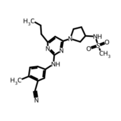 CCCc1cc(N2CCC(NS(C)(=O)=O)C2)nc(Nc2ccc(C)c(C#N)c2)n1